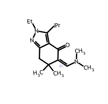 CCn1nc2c(c1C(C)C)C(=O)/C(=C\N(C)C)C(C)(C)C2